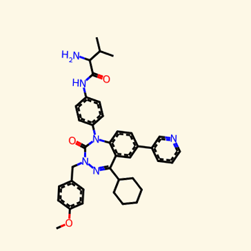 COc1ccc(CN2N=C(C3CCCCC3)c3cc(-c4cccnc4)ccc3N(c3ccc(NC(=O)C(N)C(C)C)cc3)C2=O)cc1